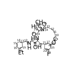 C#CCC1C(=O)NC([C@H](O)CNCc2cccc(CC)c2)Cc2cc(F)cc(c2)OCCCCCC(=O)N1C